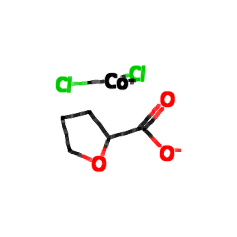 O=C([O-])C1CCCO1.[Cl][Co+][Cl]